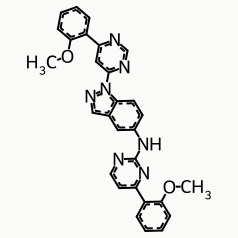 COc1ccccc1-c1cc(-n2ncc3cc(Nc4nccc(-c5ccccc5OC)n4)ccc32)ncn1